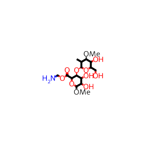 COC1OC(C(=O)OCN)[C@@H](O[C@@H]2OC(CO)C(O)[C@H](OC)C2C)C(O)C1O